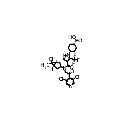 CC1(C)C2CC(N(CC(=O)c3c(Cl)cncc3Cl)C(=O)c3cnn([C@H]4CC[C@H](C(=O)O)CC4)c3C(F)(F)F)C[C@H]21